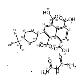 NC(=O)NC(N)=O.O=C(O)c1ccc(C(=O)O)c2c(C(=O)O)c([C@H]3CC[C@@H](C(F)(F)F)CC3)cc(C(=O)O)c12